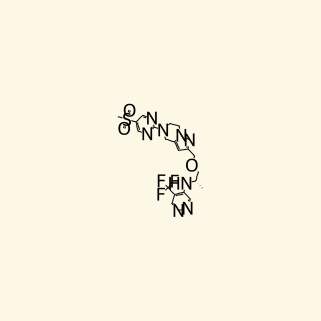 C[C@@H](COCc1cc2n(n1)CCN(c1ncc(S(C)(=O)=O)cn1)C2)Nc1cnncc1C(F)(F)F